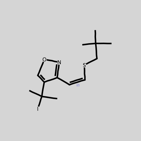 CC(C)(C)CS/C=C\c1nocc1C(C)(C)I